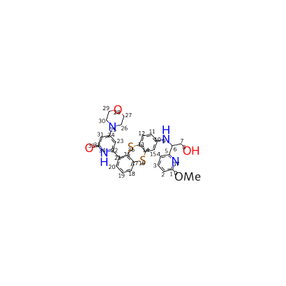 COc1cccc(C(CO)Nc2ccc3c(c2)Sc2cccc(-c4cc(N5CCOCC5)cc(=O)[nH]4)c2S3)n1